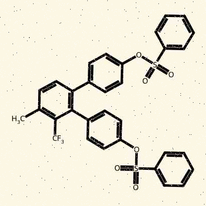 Cc1ccc(-c2ccc(OS(=O)(=O)c3ccccc3)cc2)c(-c2ccc(OS(=O)(=O)c3ccccc3)cc2)c1C(F)(F)F